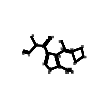 C=CC(C)C(=O)c1csc(N)c1C(C)=C1CCC1